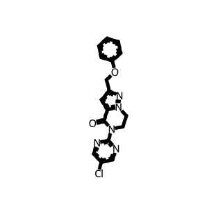 O=C1c2cc(COc3ccccc3)nn2CCN1c1ncc(Cl)cn1